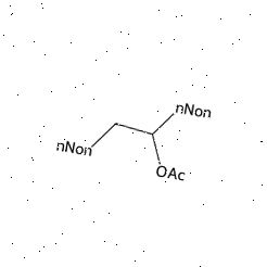 CCCCCCCCCCC(CCCCCCCCC)OC(C)=O